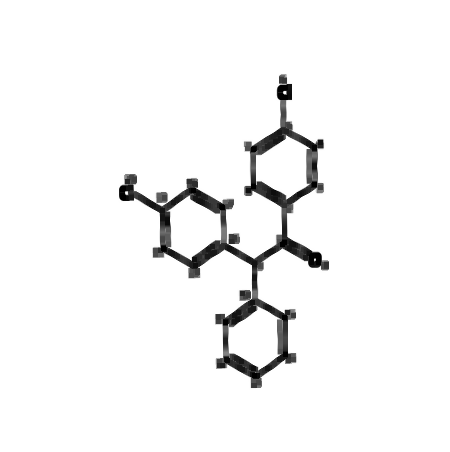 O=C(c1ccc(Cl)cc1)C(c1ccccc1)c1ccc(Cl)cc1